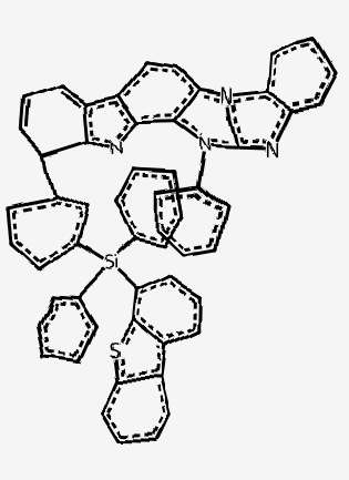 C1=CC(c2cccc([Si](c3ccccc3)(c3ccccc3)c3cccc4c3sc3ccccc34)c2)c2nc3c(ccc4c3n(-c3ccccc3)c3nc5ccccc5n43)c2=C1